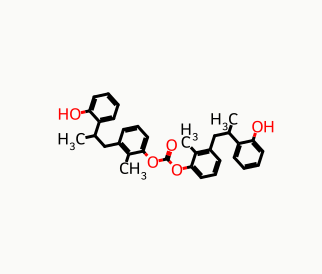 Cc1c(CC(C)c2ccccc2O)cccc1OC(=O)Oc1cccc(CC(C)c2ccccc2O)c1C